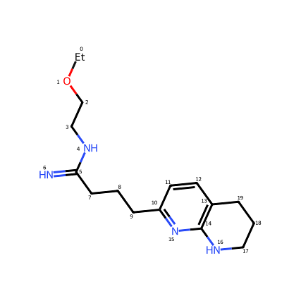 CCOCCNC(=N)CCCc1ccc2c(n1)NCCC2